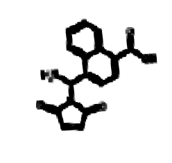 NC(c1ccc(C(=O)O)c2ccccc12)N1C(=O)C=CC1=O